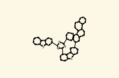 c1ccc(-c2nc(-c3ccc4c(c3)sc3ccccc34)nc(-c3cccc4sc5ccc(-c6ccc7c(ccc8c9ccccc9ccc78)c6)cc5c34)n2)cc1